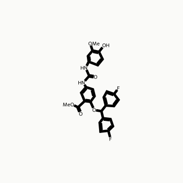 COC(=O)c1cc(NC(=O)Nc2ccc(O)c(OC)c2)ccc1OC(c1ccc(F)cc1)c1ccc(F)cc1